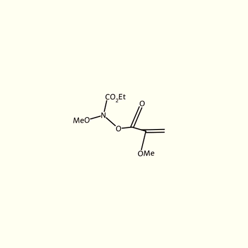 C=C(OC)C(=O)ON(OC)C(=O)OCC